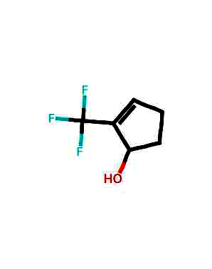 OC1CCC=C1C(F)(F)F